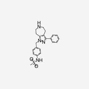 CS(=O)(=O)Nc1ccc(Cn2nc(-c3ccccc3)c3c2CCNCC3)cc1